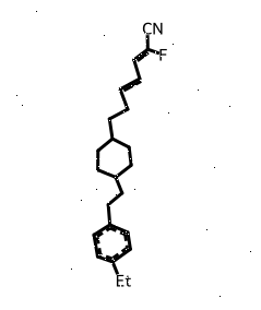 CCc1ccc(CCC2CCC(CCC=CC=C(F)C#N)CC2)cc1